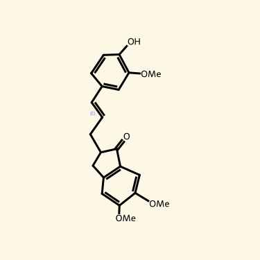 COc1cc(/C=C/CC2Cc3cc(OC)c(OC)cc3C2=O)ccc1O